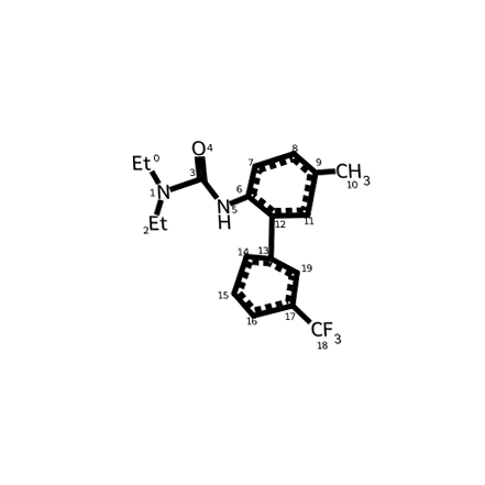 CCN(CC)C(=O)Nc1ccc(C)cc1-c1cccc(C(F)(F)F)c1